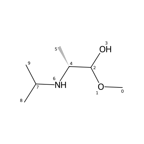 COC(O)[C@@H](C)NC(C)C